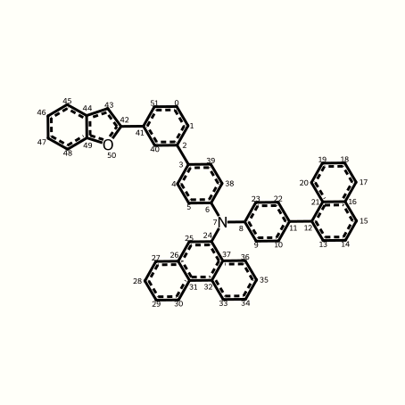 c1cc(-c2ccc(N(c3ccc(-c4cccc5ccccc45)cc3)c3cc4ccccc4c4ccccc34)cc2)cc(-c2cc3ccccc3o2)c1